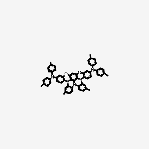 Cc1ccc(N(c2ccc(C)cc2)c2ccc3c(c2)Oc2cc4c5c6c2B3c2cc(C)ccc2N6c2ccc(C)cc2B5c2ccc(N(c3ccc(C)cc3)c3ccc(C)cc3)cc2O4)cc1